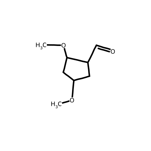 COC1CC(C=O)C(OC)C1